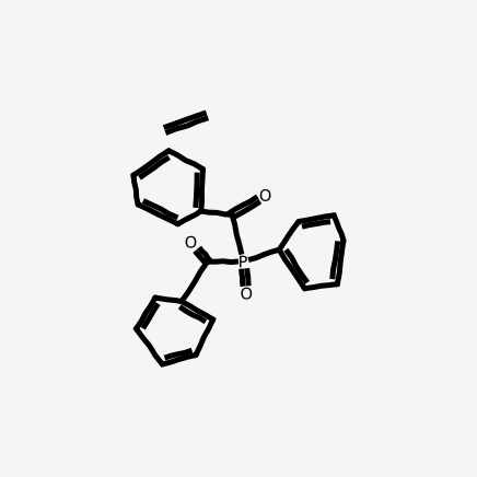 C=C.O=C(c1ccccc1)P(=O)(C(=O)c1ccccc1)c1ccccc1